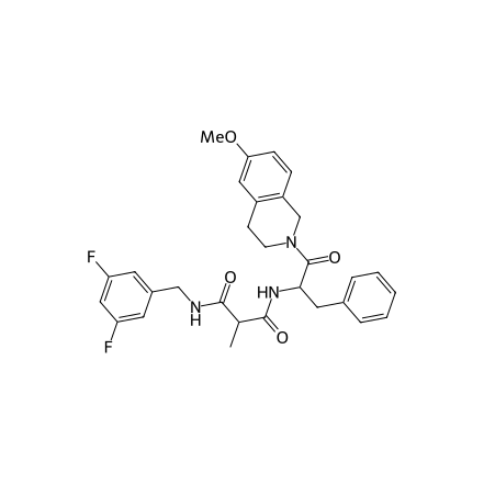 COc1ccc2c(c1)CCN(C(=O)C(Cc1ccccc1)NC(=O)C(C)C(=O)NCc1cc(F)cc(F)c1)C2